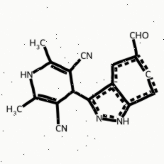 CC1=C(C#N)C(c2n[nH]c3ccc(C=O)cc23)C(C#N)=C(C)N1